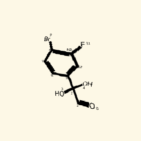 O=CC(O)(O)c1ccc(Br)c(F)c1